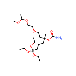 CCO[Si](CCCC(C)(CCOCCOC(C)OC)OC(N)=O)(OCC)OCC